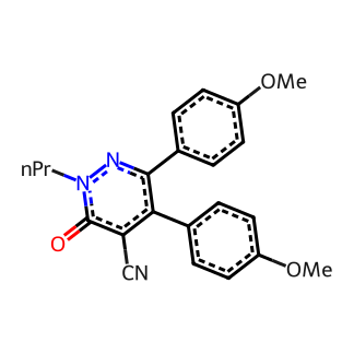 CCCn1nc(-c2ccc(OC)cc2)c(-c2ccc(OC)cc2)c(C#N)c1=O